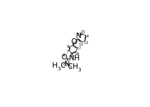 CN(C)C(=O)Nc1ccc(Oc2ccccn2)cc1